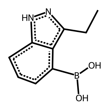 CCc1n[nH]c2cccc(B(O)O)c12